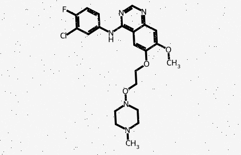 COc1cc2ncnc(Nc3ccc(F)c(Cl)c3)c2cc1OCCON1CCN(C)CC1